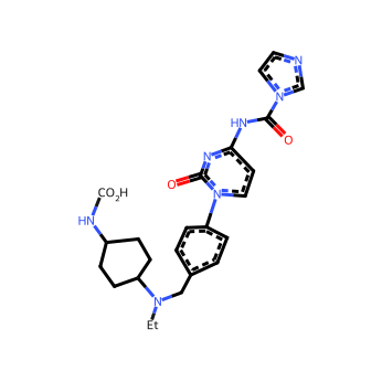 CCN(Cc1ccc(-n2ccc(NC(=O)n3ccnc3)nc2=O)cc1)C1CCC(NC(=O)O)CC1